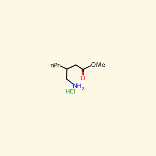 CCCC(CN)CC(=O)OC.Cl